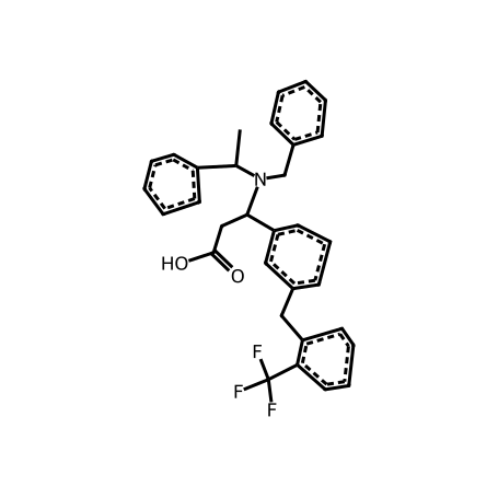 CC(c1ccccc1)N(Cc1ccccc1)C(CC(=O)O)c1cccc(Cc2ccccc2C(F)(F)F)c1